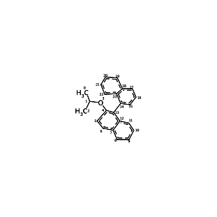 CC(C)Oc1ccc2ccccc2c1-c1cccc2ccccc12